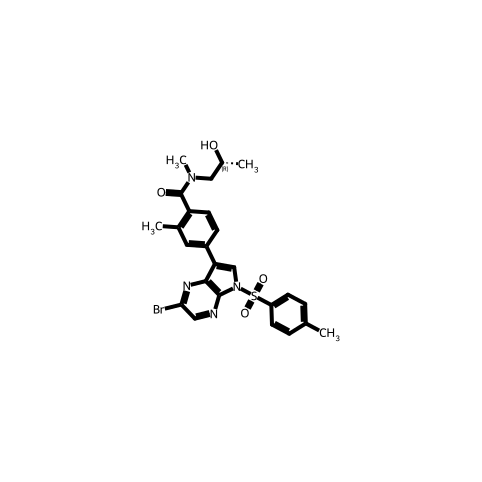 Cc1ccc(S(=O)(=O)n2cc(-c3ccc(C(=O)N(C)C[C@@H](C)O)c(C)c3)c3nc(Br)cnc32)cc1